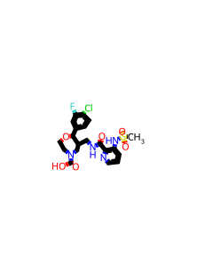 CS(=O)(=O)Nc1cccnc1C(=O)NCC1CN(C(=O)O)CCOC1c1ccc(Cl)c(F)c1